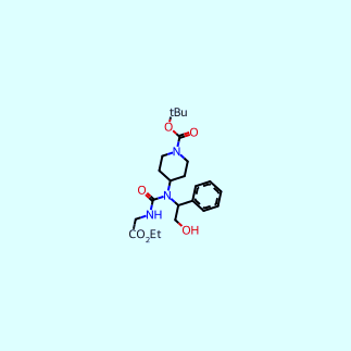 CCOC(=O)CNC(=O)N(C1CCN(C(=O)OC(C)(C)C)CC1)C(CO)c1ccccc1